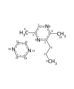 CCCc1nc(C)cnc1C.c1cnccn1